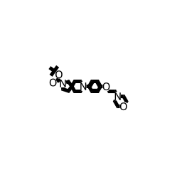 CC(C)(C)OC(=O)N1CCC2(CCN(c3ccc(OCCN4CCOCC4)cc3)CC2)C1